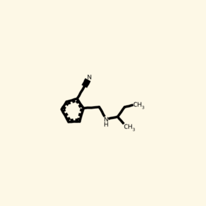 CCC(C)NCc1ccccc1C#N